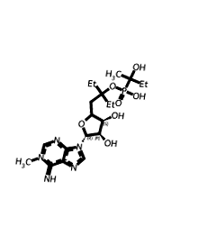 CCC(CC)(CC1O[C@@H](n2cnc3c(=N)n(C)cnc32)[C@H](O)[C@@H]1O)OP(=O)(O)C(C)(O)CC